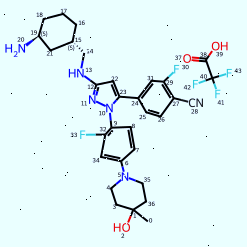 CC1(O)CCN(c2ccc(-n3nc(NC[C@H]4CCC[C@H](N)C4)cc3-c3ccc(C#N)c(F)c3)c(F)c2)CC1.O=C(O)C(F)(F)F